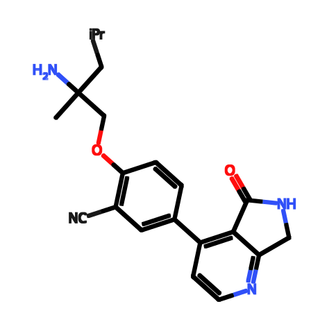 CC(C)CC(C)(N)COc1ccc(-c2ccnc3c2C(=O)NC3)cc1C#N